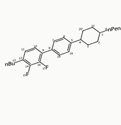 CCCCCC1CCC(c2ccc(-c3ccc(CCCC)c(F)c3F)cc2)CC1